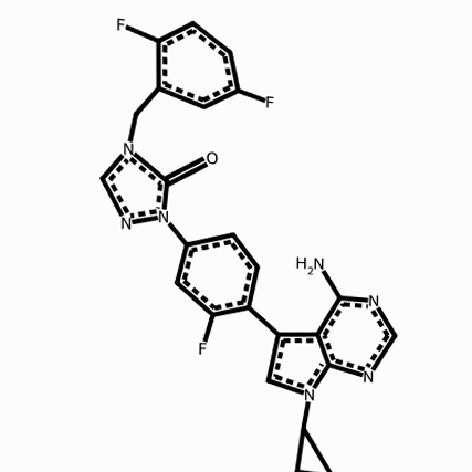 Nc1ncnc2c1c(-c1ccc(-n3ncn(Cc4cc(F)ccc4F)c3=O)cc1F)cn2C1CC1